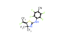 N#Cc1c(F)c(F)c(NC2=NC(C(F)(F)F)(C(F)(F)F)/C(=C(\F)C(F)(F)F)S2)c(F)c1F